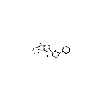 Clc1c(-c2cccc(-c3ccccc3)c2)ccc2oc3ccccc3c12